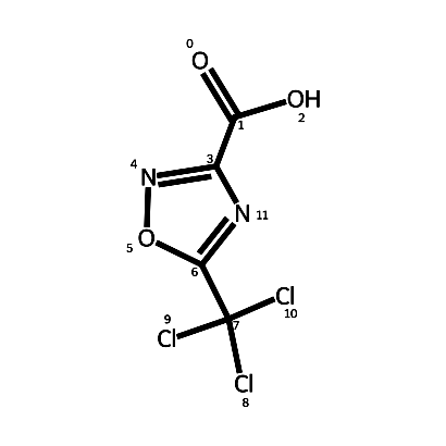 O=C(O)c1noc(C(Cl)(Cl)Cl)n1